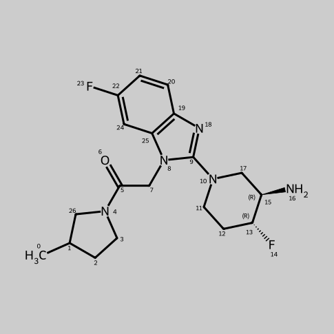 CC1CCN(C(=O)Cn2c(N3CC[C@@H](F)[C@H](N)C3)nc3ccc(F)cc32)C1